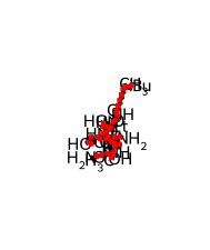 CCC(C)CC(C)CCCCCCCCC(=O)NCC(=O)NC(CC)C(=O)N1C[C@H](O)CC1C(=O)NC(C(=O)NC(CCCN)C(=O)N1CCCC1C(=O)NC(NCCOCCN)[C@@H](C)O)[C@H](O)Cc1ccc(O)cc1